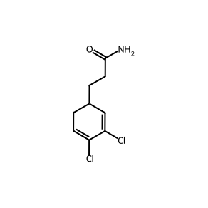 NC(=O)CCC1C=C(Cl)C(Cl)=CC1